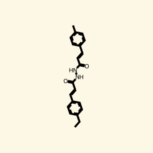 CCc1ccc(C=CC(=O)NNC(=O)C=Cc2ccc(C)cc2)cc1